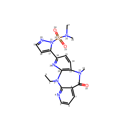 CCN1c2ncccc2C(=O)N(C)c2ccc(-c3ccnn3S(=O)(=O)N(C)C)nc21